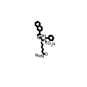 CNC(=O)CCCCC[C@@H](c1ncc(-c2ccc3ccccc3c2)[nH]1)N(Cc1ccccc1)C(=O)O